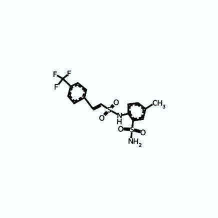 Cc1ccc(NS(=O)(=O)C=Cc2ccc(C(F)(F)F)cc2)c(S(N)(=O)=O)c1